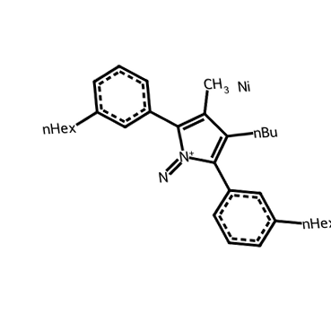 CCCCCCc1cccc(C2=C(C)C(CCCC)=C(c3cccc(CCCCCC)c3)[N+]2=[N-])c1.[Ni]